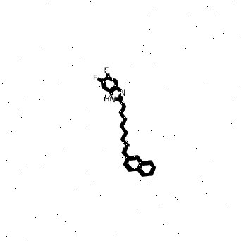 Fc1cc2nc(CCCCCCCCc3ccc4ccccc4c3)[nH]c2cc1F